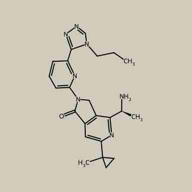 CCCn1cnnc1-c1cccc(N2Cc3c(cc(C4(C)CC4)nc3[C@H](C)N)C2=O)n1